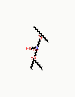 CCCCCCCCC(CCCCCC)C(=O)OCCCCCCN(CCCCCCOC(=O)C(CCCCCC)CCCCCCCC)CC(O)CCO